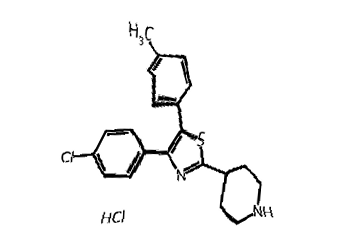 Cc1ccc(-c2sc(C3CCNCC3)nc2-c2ccc(Cl)cc2)cc1.Cl